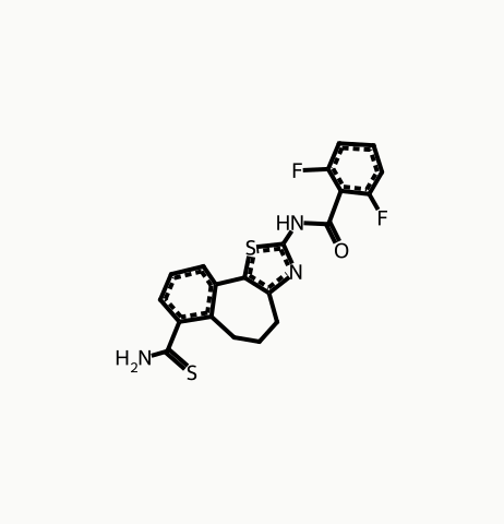 NC(=S)c1cccc2c1CCCc1nc(NC(=O)c3c(F)cccc3F)sc1-2